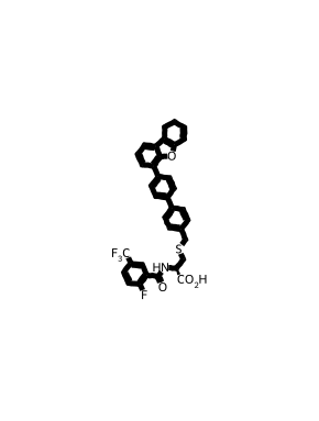 O=C(N[C@@H](CSCc1ccc(-c2ccc(-c3cccc4c5c(oc34)C=CCC5)cc2)cc1)C(=O)O)c1cc(C(F)(F)F)ccc1F